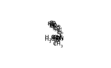 CCCN(Cc1ncc(-c2ccc(-c3cccc4c(OS(=O)(=O)C(F)(F)F)cccc34)cc2)[nH]1)C(=O)OC(C)(C)C